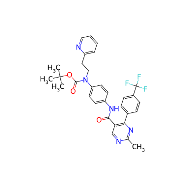 Cc1ncc(C(=O)Nc2ccc(N(CCc3ccccn3)C(=O)OC(C)(C)C)cc2)c(-c2ccc(C(F)(F)F)cc2)n1